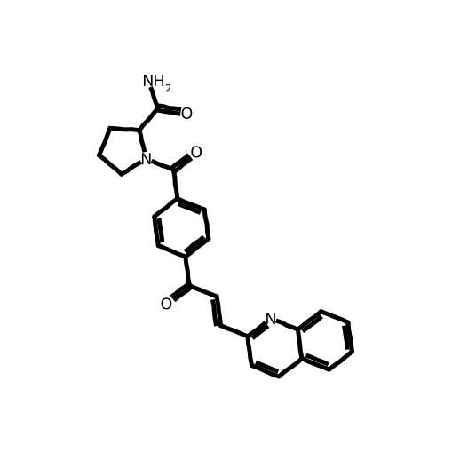 NC(=O)C1CCCN1C(=O)c1ccc(C(=O)C=Cc2ccc3ccccc3n2)cc1